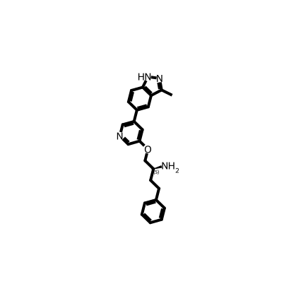 Cc1n[nH]c2ccc(-c3cncc(OC[C@@H](N)CCc4ccccc4)c3)cc12